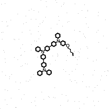 C=CCCCOc1ccc(N(c2ccccc2)c2ccc(-c3ccc(N(c4ccccc4)c4ccc(-c5ccc(N(c6ccccc6)c6ccccc6)cc5)cc4)cc3)cc2)cc1